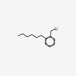 [Li][CH2]c1ccccc1CCCCCC